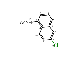 CC(=O)Nc1cccc2cc(Cl)ccc12